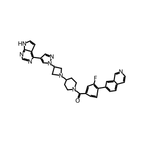 O=C(c1ccc(-c2ccc3ccncc3c2)c(F)c1)N1CCC(N2C[C](n3cc(-c4ncnc5[nH]ccc45)cn3)C2)CC1